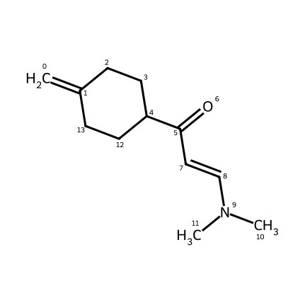 C=C1CCC(C(=O)/C=C/N(C)C)CC1